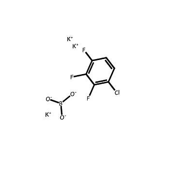 Fc1ccc(Cl)c(F)c1F.[K+].[K+].[K+].[O-]B([O-])[O-]